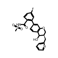 CS(=O)(=O)NC(=O)c1ccc(F)cc1-c1ccc2c(c1)OC[C@@H](Cc1ccccn1)C2O